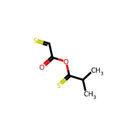 CC(C)C(=S)OC(=O)C=S